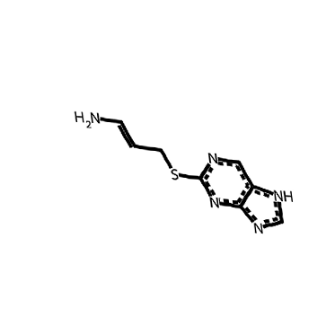 NC=CCSc1ncc2[nH]cnc2n1